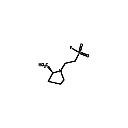 O=C(O)[C@@H]1CCCN1CCS(=O)(=O)F